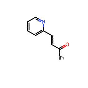 CC(C)C(=O)C=Cc1ccccn1